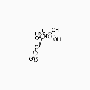 O=c1[nH]c(=O)n(C2CC(O)C(CO)O2)cc1C#CCOc1ccc([N+](=O)[O-])cc1